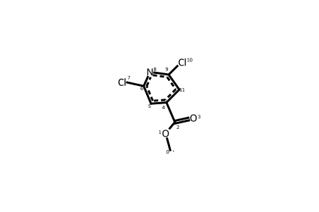 [CH2]OC(=O)c1cc(Cl)nc(Cl)c1